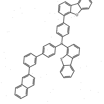 c1cc(-c2ccc(N(c3ccc(-c4cccc5c4oc4ccccc45)cc3)c3cccc4c3sc3ccccc34)cc2)cc(-c2ccc3ccccc3c2)c1